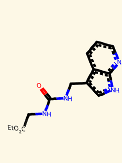 CCOC(=O)CNC(=O)NCc1c[nH]c2ncccc12